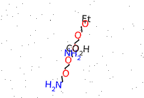 CCOCCOCCOCCOCCOCCN.NC(=O)O